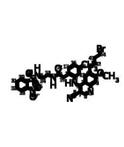 COc1cc2ncc(C#N)c(Nc3cc(C)ccc3CC(=O)NCCNS(=O)(=O)c3ccccc3[N+](=O)[O-])c2cc1CCCCBr